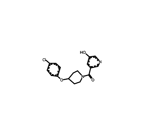 O=C(c1cncc(O)c1)N1CCC(Oc2ccc(Cl)cc2)CC1